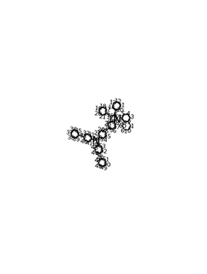 C1=Cc2cccc(-n3c(-c4ccccc4)c(-c4ccccc4)c4cc(-c5ccc(N(c6ccc(-c7ccccc7)cc6)c6ccc(-c7ccccc7)cc6)cc5)ccc43)c2CC1